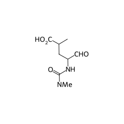 CNC(=O)NC(C=O)CC(C)C(=O)O